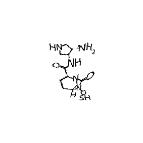 N[C@H]1CNC[C@H]1NC(=O)[C@@H]1CC[C@@H]2CN1C(=O)N2OS